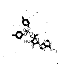 Cc1ccc(OP(=O)(OC[C@@]2(C(F)F)O[C@@H](n3cnc4c(N)ncnc43)[C@@H](F)[C@@H]2O)Oc2ccc(C)cc2)cc1